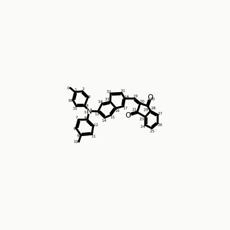 Cc1ccc(N(c2ccc(C)cc2)c2ccc3cc(C=C4C(=O)c5ccccc5C4=O)ccc3c2)cc1